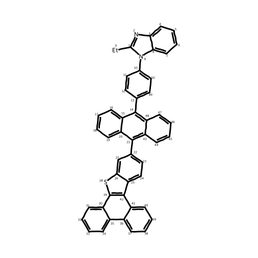 CCc1nc2ccccc2n1-c1ccc(-c2c3ccccc3c(-c3ccc4c(c3)sc3c5ccccc5c5ccccc5c43)c3ccccc23)cc1